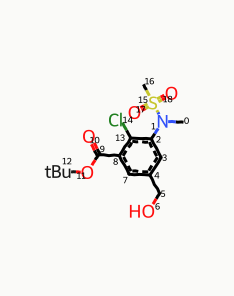 CN(c1cc(CO)cc(C(=O)OC(C)(C)C)c1Cl)S(C)(=O)=O